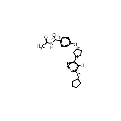 CC(=O)N[C@@H](C)c1ccc(O[C@@H]2CCN(c3ncnc(OC4CCCC4)c3Cl)C2)cc1